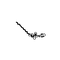 CCCCCCCCCCCCCCOC1=CC(=O)C(C(=O)OCCN2CCOCC2)O1